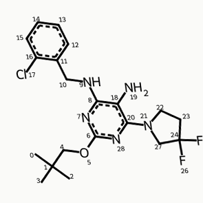 CC(C)(C)COc1nc(NCc2ccccc2Cl)c(N)c(N2CCC(F)(F)C2)n1